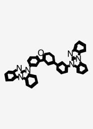 C1=C(c2cccc(-n3c4ccccc4n4c5ccccc5nc34)c2)CCc2oc3ccc(-n4c5ccccc5n5c6ccccc6nc45)cc3c21